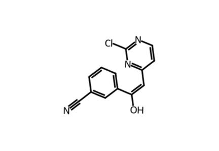 N#Cc1cccc(/C(O)=C\c2ccnc(Cl)n2)c1